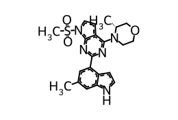 Cc1cc(-c2nc(N3CCOC[C@H]3C)c3ccn(S(C)(=O)=O)c3n2)c2cc[nH]c2c1